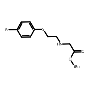 CC(C)(C)OC(=O)CNCCSc1ccc(Br)cc1